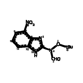 CC(C)(C)ON(C=O)c1nc2c([N+](=O)[O-])cccc2[nH]1